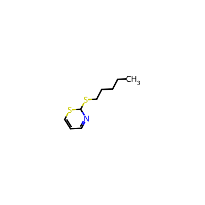 CCCCCSC1N=CC=CS1